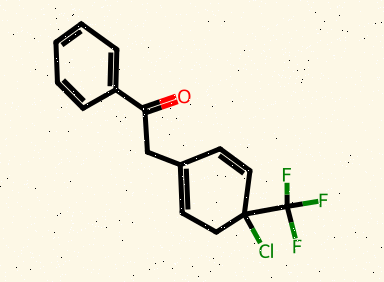 O=C(CC1=CCC(Cl)(C(F)(F)F)C=C1)c1ccccc1